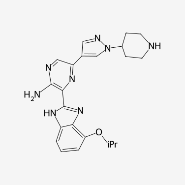 CC(C)Oc1cccc2[nH]c(-c3nc(-c4cnn(C5CCNCC5)c4)cnc3N)nc12